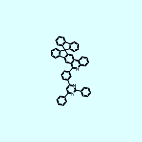 c1ccc(-c2cc(-c3cccc(-c4nc5ccccc5c5cc6c(cc45)-c4ccccc4C64c5ccccc5-c5ccccc54)c3)nc(-c3ccccc3)n2)cc1